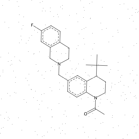 CC(=O)N1CCC(C(C)(C)C)c2cc(CN3CCc4ccc(F)cc4C3)ccc21